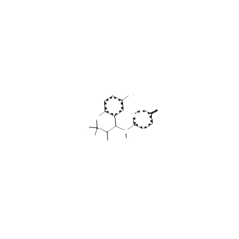 CN(c1ccc(=O)[nH]n1)C1c2cc(C#N)ccc2OC(C)(C)C1O